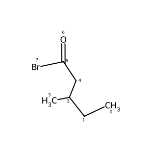 CCC(C)CC(=O)Br